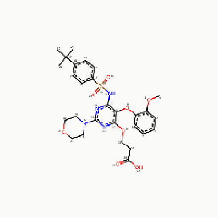 COc1ccccc1Oc1c(NS(=O)(=O)c2ccc(C(C)(C)C)cc2)nc(N2CCOCC2)nc1OCCC(=O)O